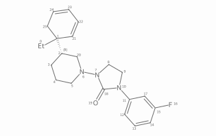 CCC1([C@H]2CCCN(N3CCN(c4cccc(F)c4)C3=O)C2)C=CC=CC1